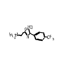 Cl.NCc1nc(-c2ccc(C(F)(F)F)cc2)co1